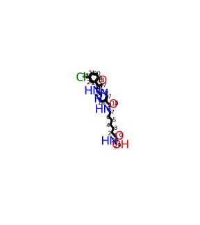 O=C(CCCCCCNC(=O)c1cnc(N[C@@H]2COc3ccc(Cl)cc32)nc1)NO